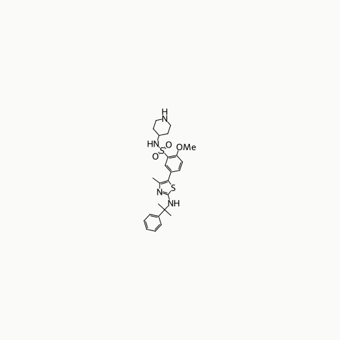 COc1ccc(-c2sc(NC(C)(C)c3ccccc3)nc2C)cc1S(=O)(=O)NC1CCNCC1